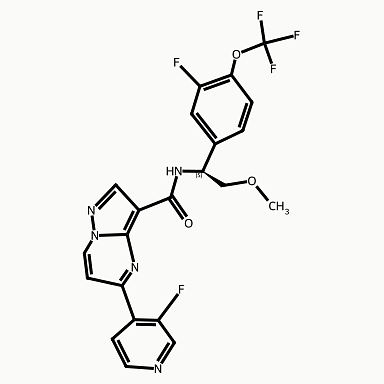 COC[C@@H](NC(=O)c1cnn2ccc(-c3ccncc3F)nc12)c1ccc(OC(F)(F)F)c(F)c1